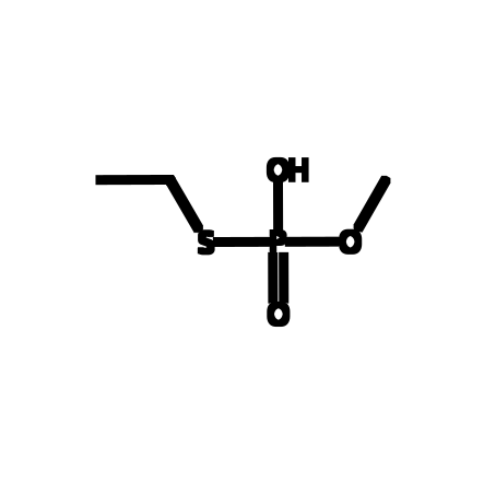 CCSP(=O)(O)OC